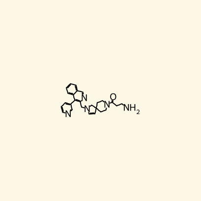 NCCC(=O)N1CCC2(C=CN(Cc3ncc4ccccc4c3-c3cccnc3)C2)CC1